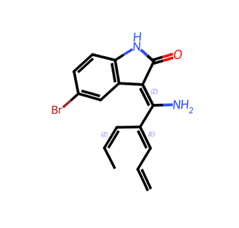 C=C/C=C(\C=C/C)C(/N)=C1/C(=O)Nc2ccc(Br)cc21